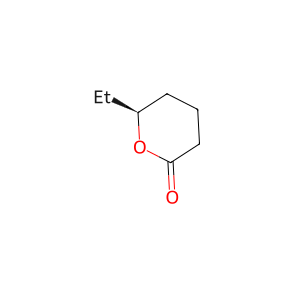 CC[C@H]1CCCC(=O)O1